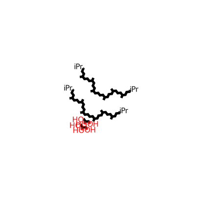 CC(C)CCCC(C)CCCC(C)CCCC(C)CCCCC(C)CCCC(C)CCCC(C)CCCC(C)C.CC(C)CCCC(C)CCCC(C)CCCC(C)CCCCC(C)CCCC(C)CCCC(C)CCCC(C)C.OCC(O)CO.OCC(O)CO